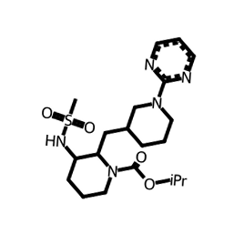 CC(C)OC(=O)N1CCCC(NS(C)(=O)=O)C1CC1CCCN(c2ncccn2)C1